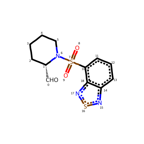 O=C[C@@H]1CCCCN1S(=O)(=O)c1cccc2nsnc12